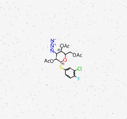 CC(=O)OCC1O[C@H](Sc2ccc(F)c(Cl)c2)C(OC(C)=O)C(N=[N+]=[N-])[C@H]1OC(C)=O